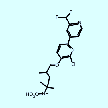 CC(COc1ccc(-c2ccnc(C(F)F)c2)nc1Cl)CC(C)(C)NC(=O)O